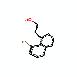 OCCc1cccc2cccc(Br)c12